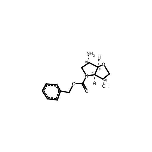 N[C@H]1CN(C(=O)OCc2ccccc2)[C@H]2[C@@H]1OC[C@@H]2O